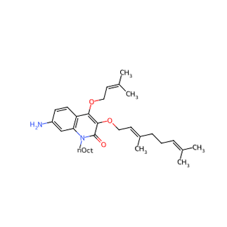 CCCCCCCCn1c(=O)c(OC/C=C(\C)CCC=C(C)C)c(OCC=C(C)C)c2ccc(N)cc21